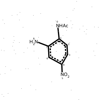 CC(=O)Nc1ccc([N+](=O)[O-])cc1N